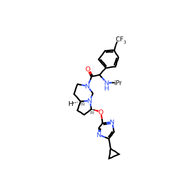 CC(C)NC(C(=O)N1CC[C@@H]2CC[C@H](Oc3cnc(C4CC4)cn3)N2C1)c1ccc(C(F)(F)F)cc1